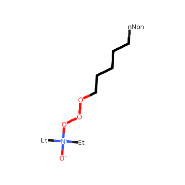 CCCCCCCCCCCCCCOOO[N+]([O-])(CC)CC